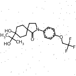 CC(C)(O)C1(O)CCC2(CCN(c3ccc(OCC(F)(F)F)cc3)C2=O)CC1